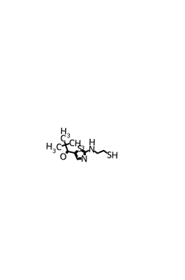 CC(C)(C)C(=O)c1cnc(NCCS)s1